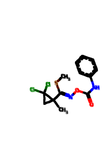 CSC(=NOC(=O)Nc1ccccc1)C1(C)CC1(Cl)Cl